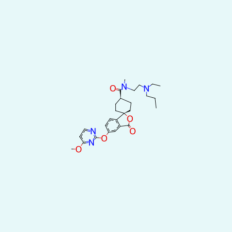 CCCN(CC)CCN(C)C(=O)[C@H]1CC[C@@]2(CC1)OC(=O)c1cc(Oc3nccc(OC)n3)ccc12